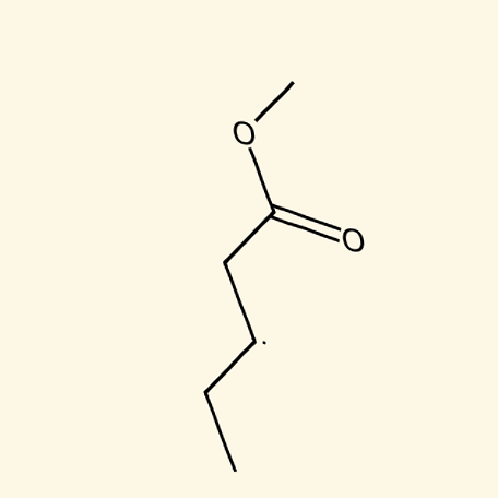 CC[CH]CC(=O)OC